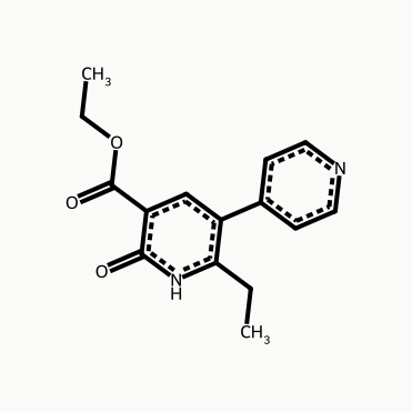 CCOC(=O)c1cc(-c2ccncc2)c(CC)[nH]c1=O